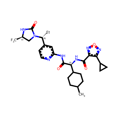 CC[C@H](c1ccnc(NC(=O)[C@@H](NC(=O)c2nonc2C2CC2)C2CCC(C)CC2)c1)N1C[C@@H](C(F)(F)F)NC1=O